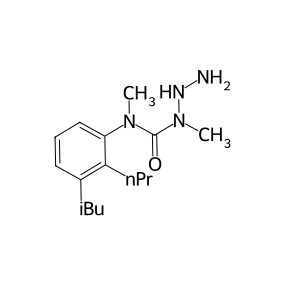 CCCc1c(C(C)CC)cccc1N(C)C(=O)N(C)NN